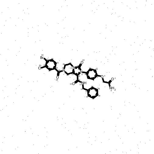 NC(=O)COc1ccc(-n2c(C(=O)NCc3ccccc3)c3n(c2=O)CCN(C(=O)c2ccc(Br)c(Cl)c2)C3)cc1